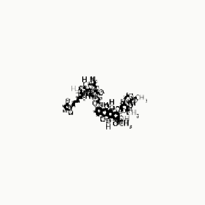 CO[C@H]1OCCN2[C@@H]1O[C@@H]1[C@H](C)O[C@@H](O[C@H]3C[C@](O)(C(C)=O)Cc4c(O)c5c(c(O)c43)C(=O)c3c(NC(=O)CNC(=O)[C@@H](CCCN)N(C(N)=O)C(=O)[C@@H](NC(=O)CCCCCN4C(=O)C=CC4=O)C(C)C)cccc3C5=O)C[C@@H]12